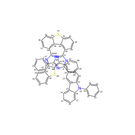 c1ccc(-c2nc(-c3ccc4c(c3)c3ccccc3n4-c3ccccc3)nc(-c3cccc4sc5cccc(-c6nc(-c7ccccc7)c7sc8ccccc8c7n6)c5c34)n2)cc1